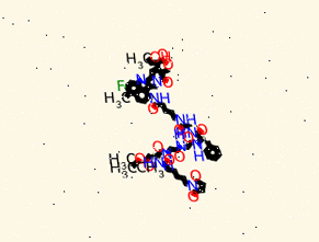 CC[C@@]1(O)C(=O)OCc2c1cc1n(c2=O)Cc2c-1nc1cc(F)c(C)c3c1c2[C@@H](NC(=O)CCCCNC(=O)CNC(=O)[C@H](Cc1ccccc1)NC(=O)CNC(=O)CNC(=O)[C@H](CC(=O)OC(C)(C)C)NC(=O)CCCCCN1C(=O)C=CC1=O)CC3